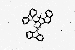 CC1(C)c2c(nc(-n3c4ccccc4c4ccccc43)nc2-n2c3ccccc3c3ccccc32)-c2ccc3ccccc3c21